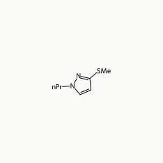 CCCn1ccc(SC)n1